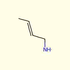 CC=CC[NH]